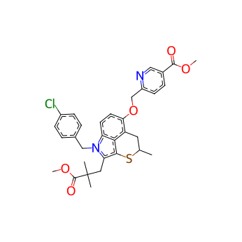 COC(=O)c1ccc(COc2ccc3c4c2CC(C)Sc4c(CC(C)(C)C(=O)OC)n3Cc2ccc(Cl)cc2)nc1